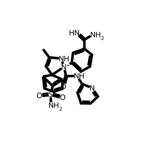 CC1=CC2(C3=CC=CC2=C3S(N)(=O)=O)[N+](C(=O)Nc2ccccn2)(c2cccc(C(=N)N)c2)N1